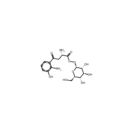 Nc1c(O)cccc1C(=O)C[C@H](N)C(=O)OO[C@@H]1O[C@H](CO)[C@@H](O)[C@H](O)[C@H]1O